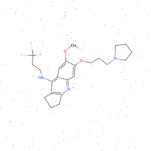 COc1cc2c(NCCC(F)(F)F)c3c(nc2cc1OCCCN1CCCC1)CCC3